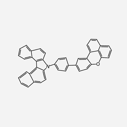 c1cc2c3c(cccc3c1)-c1cc(-c3ccc(-n4c5ccc6ccccc6c5c5c6ccccc6ccc54)cc3)ccc1O2